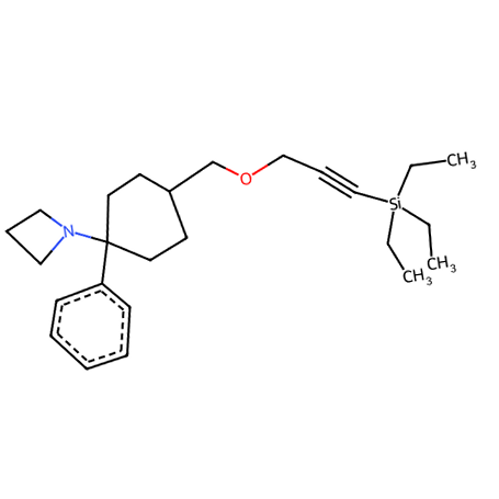 CC[Si](C#CCOCC1CCC(c2ccccc2)(N2CCC2)CC1)(CC)CC